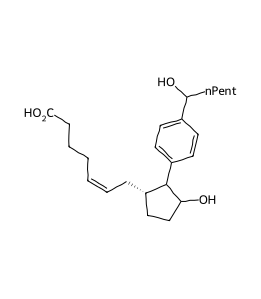 CCCCCC(O)c1ccc(C2C(O)CC[C@@H]2C/C=C\CCCC(=O)O)cc1